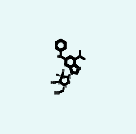 CN(C)c1nc(Nc2ccccc2)nc2c1ncn2[C@@H]1O[C@H](CO)[C@@H](O)[C@@]1(C)F